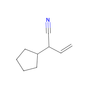 C=CC(C#N)C1CCCC1